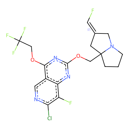 F/C=C1\CN2CCCC2(COc2nc(OCC(F)(F)F)c3cnc(Cl)c(F)c3n2)C1